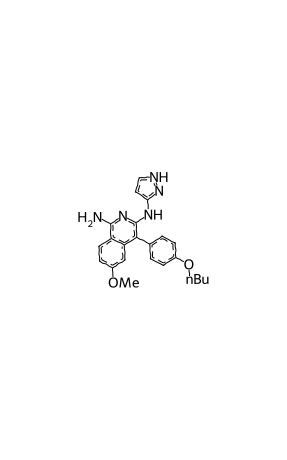 CCCCOc1ccc(-c2c(Nc3cc[nH]n3)nc(N)c3ccc(OC)cc23)cc1